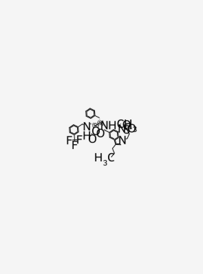 CCCc1cn2c3c(cc(C(=O)N[C@@H](Cc4ccccc4)[C@@H](CNCc4cccc(C(F)(F)F)c4)OC=O)cc13)N(C)S(=O)(=O)CC2